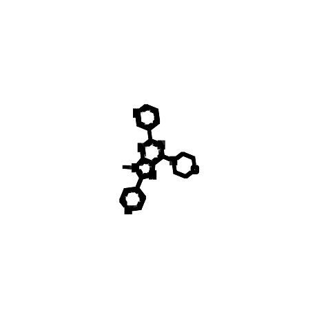 Cn1c(-c2ccncc2)nc2c(N3CCOCC3)nc(-c3cccnc3)nc21